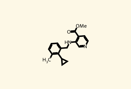 COC(=O)c1ccncc1NCc1cccc(C)c1C1CC1